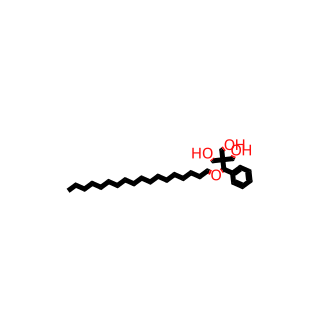 CCCCCCCCCCCCCCCCCCOC(c1ccccc1)C(CO)(CO)CO